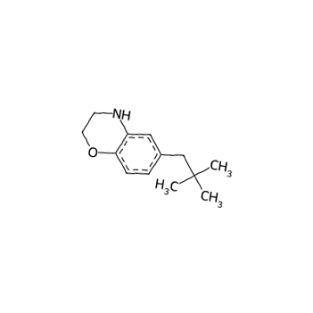 CC(C)(C)Cc1ccc2c(c1)NCCO2